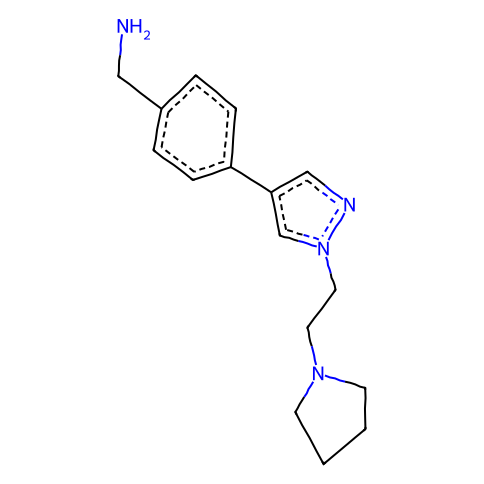 NCc1ccc(-c2cnn(CCN3CCCC3)c2)cc1